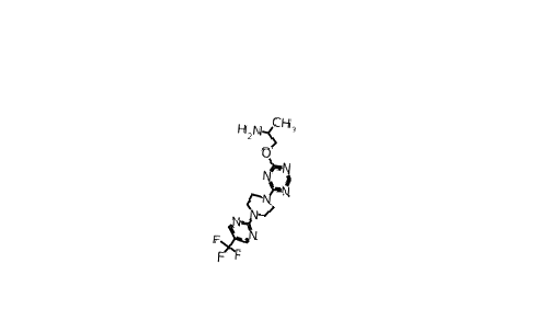 CC(N)COc1ncnc(N2CCN(c3ncc(C(F)(F)F)cn3)CC2)n1